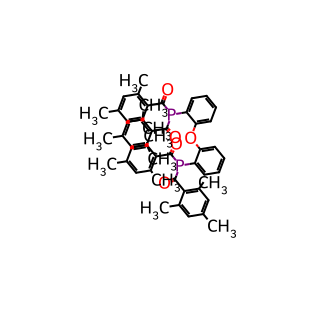 Cc1cc(C)c(C(=O)P(C(=O)c2c(C)cc(C)cc2C)c2ccccc2Oc2ccccc2P(C(=O)c2c(C)cc(C)cc2C)C(=O)c2c(C)cc(C)cc2C)c(C)c1